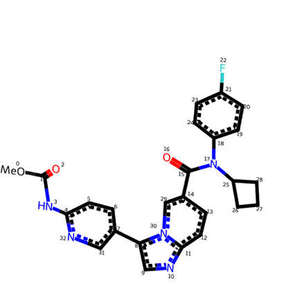 COC(=O)Nc1ccc(-c2cnc3ccc(C(=O)N(c4ccc(F)cc4)C4CCC4)cn23)cn1